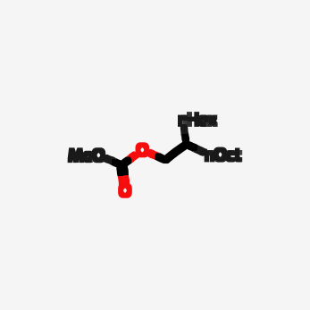 CCCCCCCCC(CCCCCC)COC(=O)OC